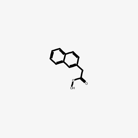 O=C(Cc1ccc2ccccc2c1)OO